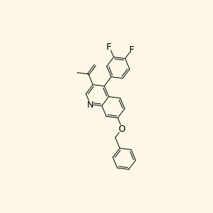 C=C(C)c1cnc2cc(OCc3ccccc3)ccc2c1-c1ccc(F)c(F)c1